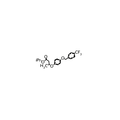 CC(C)OC(=O)CC(C)Oc1ccc(OCc2ccc(C(F)(F)F)cc2)cc1